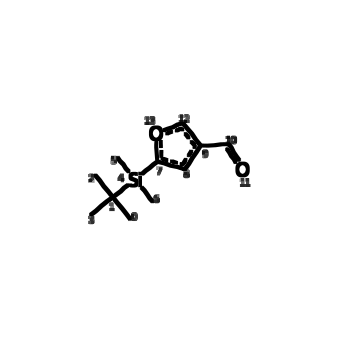 CC(C)(C)[Si](C)(C)c1cc(C=O)co1